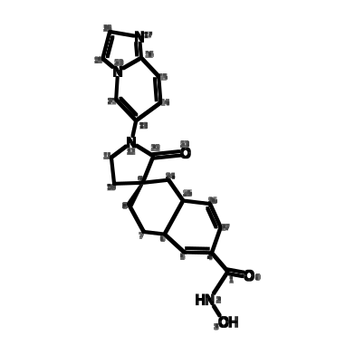 O=C(NO)C1=CC2CC[C@]3(CCN(c4ccc5nccn5c4)C3=O)CC2C=C1